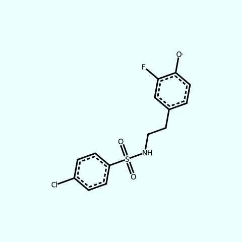 [O]c1ccc(CCNS(=O)(=O)c2ccc(Cl)cc2)cc1F